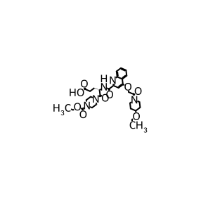 CCOC(=O)N1CCN(C(=O)[C@H](CCC(=O)O)NC(=O)c2cc(OCC(=O)N3CCC(OCC)CC3)c3ccccc3n2)CC1